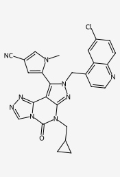 Cn1cc(C#N)cc1-c1c2c(nn1Cc1ccnc3ccc(Cl)cc13)n(CC1CC1)c(=O)n1cnnc21